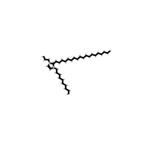 CCCCCCCCCCCCCCCCCCCC1N(CCC)C=CN1CCCCCCCCCC